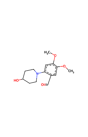 COc1cc(C=O)c(N2CCC(O)CC2)cc1OC